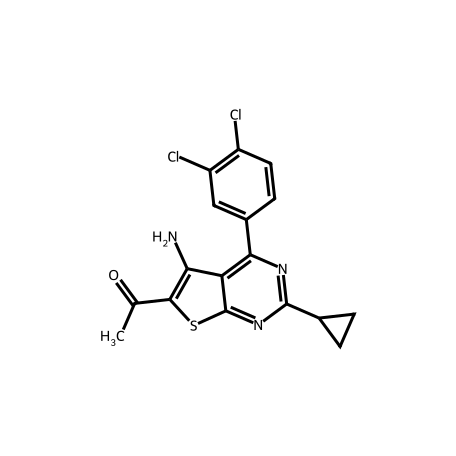 CC(=O)c1sc2nc(C3CC3)nc(-c3ccc(Cl)c(Cl)c3)c2c1N